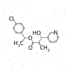 C=C(C(=O)OC(C)c1ccc(Cl)cc1)C(O)c1cccnc1